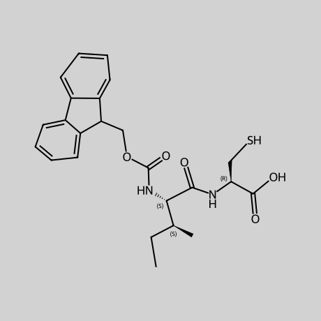 CC[C@H](C)[C@H](NC(=O)OCC1c2ccccc2-c2ccccc21)C(=O)N[C@@H](CS)C(=O)O